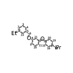 CCc1cccc(COc2cccc(Oc3ccc(C(C)C)cc3)c2)c1